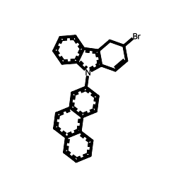 BrC1C=Cc2c(c3ccccc3n2-c2ccc3c(ccc4ccccc43)c2)C1